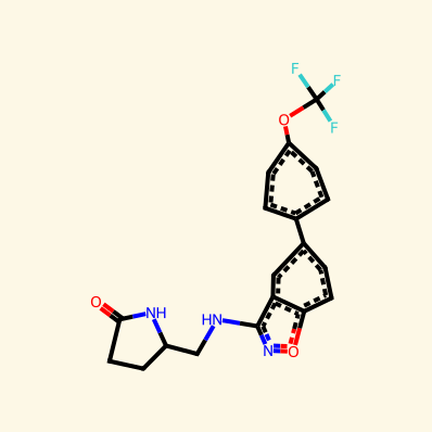 O=C1CCC(CNc2noc3ccc(-c4ccc(OC(F)(F)F)cc4)cc23)N1